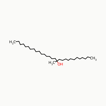 CCCCCCCCCCCCCCCCC(C)(O)CCCCCCCCCCCC